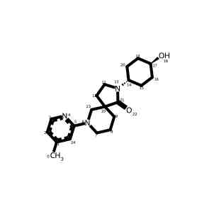 Cc1ccnc(N2CCCC3(CCN([C@H]4CC[C@H](O)CC4)C3=O)C2)c1